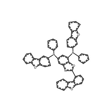 c1ccc(N(c2cc(N(c3ccccc3)c3ccc4c(c3)oc3ccccc34)c3oc(-c4cccc5oc6ccccc6c45)nc3c2)c2ccc3oc4ccccc4c3c2)cc1